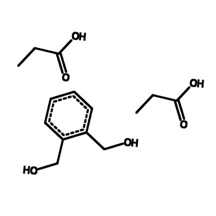 CCC(=O)O.CCC(=O)O.OCc1ccccc1CO